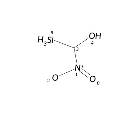 O=[N+]([O-])C(O)[SiH3]